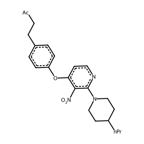 CCCC1CCN(c2nccc(Oc3ccc(CCC(C)=O)cc3)c2[N+](=O)[O-])CC1